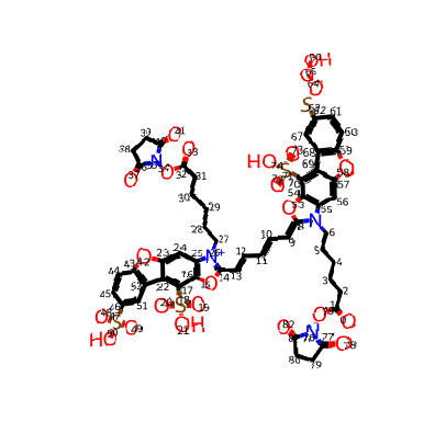 O=C(CCCCCN1/C(=C/C=C/C=C/c2oc3c(S(=O)(=O)O)c4c(cc3[n+]2CCCCCC(=O)ON2C(=O)CCC2=O)oc2ccc(S(=O)(=O)O)cc24)Oc2c1cc1oc3ccc(SOOO)cc3c1c2S(=O)(=O)O)ON1C(=O)CCC1=O